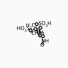 Cc1ccc(S(=O)(=O)O)cc1-c1cc(OCc2ccccc2)c(-c2ccccc2C(=O)N2CCc3ccc(CNC4COC4)cc3C2)c(-c2cc(S(=O)(=O)O)ccc2C)c1